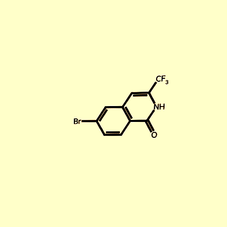 O=c1[nH]c(C(F)(F)F)cc2cc(Br)ccc12